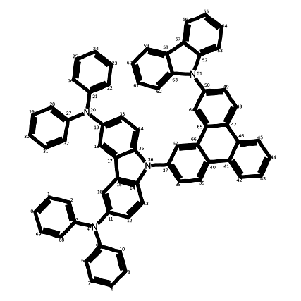 c1ccc(N(c2ccccc2)c2ccc3c(c2)c2cc(N(c4ccccc4)c4ccccc4)ccc2n3-c2ccc3c4ccccc4c4ccc(-n5c6ccccc6c6ccccc65)cc4c3c2)cc1